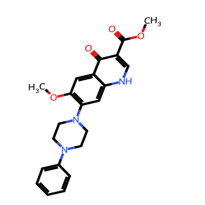 COC(=O)c1c[nH]c2cc(N3CCN(c4ccccc4)CC3)c(OC)cc2c1=O